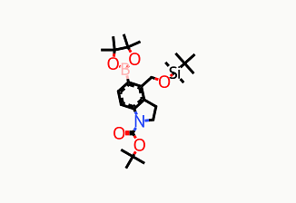 CC(C)(C)OC(=O)N1CCc2c1ccc(B1OC(C)(C)C(C)(C)O1)c2CO[Si](C)(C)C(C)(C)C